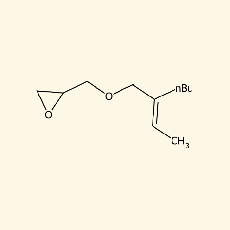 CC=C(CCCC)COCC1CO1